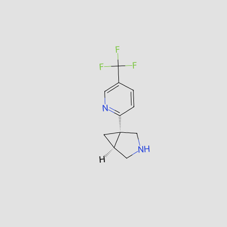 FC(F)(F)c1ccc([C@]23CNC[C@H]2C3)nc1